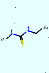 CC(C)(C)CNC(=S)NC(C)(C)C